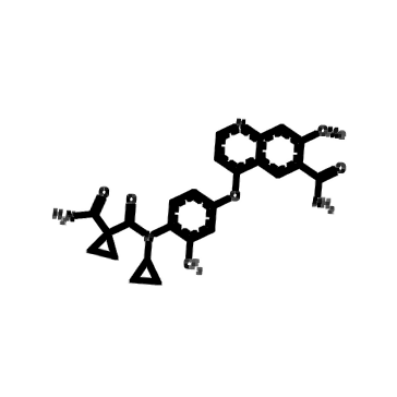 COc1cc2nccc(Oc3ccc(N(C(=O)C4(C(N)=O)CC4)C4CC4)c(C(F)(F)F)c3)c2cc1C(N)=O